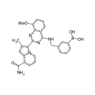 COc1cccc2c(NCc3cccc(B(O)O)c3)nc(-c3c(C)cc4c(C(N)=O)cccn34)nc12